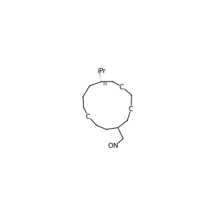 CC(C)[C@H]1CCCCCCC(CN=O)CCCCC1